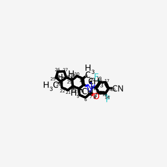 CC1=C2[C@](C)(CCC(=O)[N+]2(C)c2cc(F)c(C#N)cc2F)[C@H]2CC[C@]3(C)CCC[C@H]3[C@@H]2C1